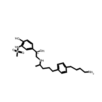 CC(CCCc1ccc(CCCCN)cc1)NC[C@H](O)c1ccc(O)c(NS(C)(=O)=O)c1